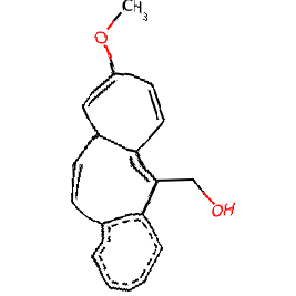 COC1=CC2C=Cc3ccccc3C(CO)=C2C=C1